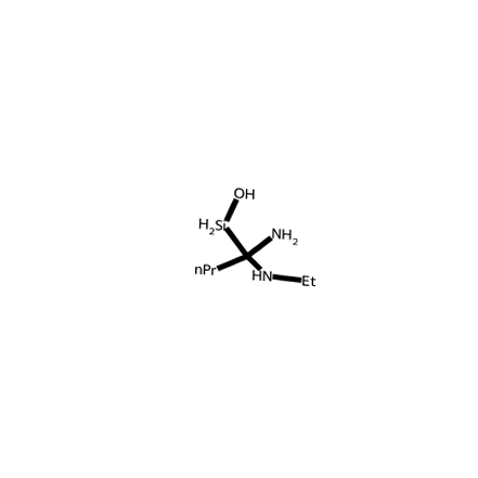 CCCC(N)(NCC)[SiH2]O